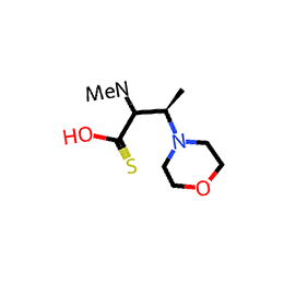 CNC(C(O)=S)[C@@H](C)N1CCOCC1